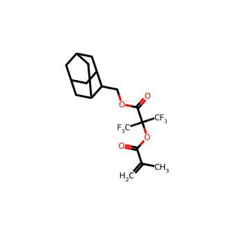 C=C(C)C(=O)OC(C(=O)OCC1C2CC3CC(C2)CC1C3)(C(F)(F)F)C(F)(F)F